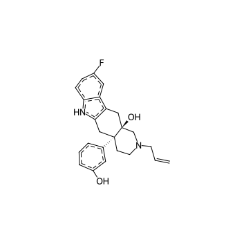 C=CCN1CC[C@@]2(c3cccc(O)c3)Cc3[nH]c4ccc(F)cc4c3C[C@]2(O)C1